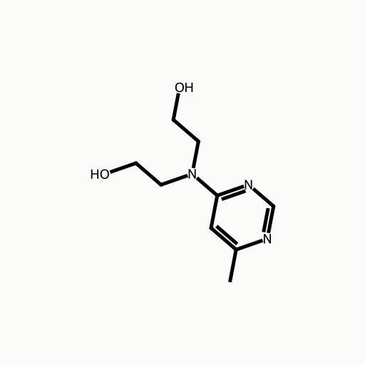 Cc1cc(N(CCO)CCO)ncn1